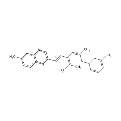 CC1=CC=CC(C/C(C)=C\C(/C=C/c2cnc3cc(C)ccc3n2)=C(C)C)C1